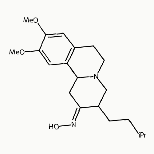 COc1cc2c(cc1OC)C1CC(=NO)C(CCC(C)C)CN1CC2